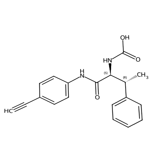 C#Cc1ccc(NC(=O)[C@@H](NC(=O)O)[C@H](C)c2ccccc2)cc1